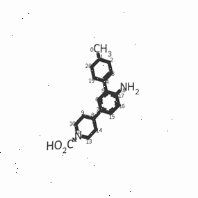 CC1CC=C(c2cc(C3CCN(C(=O)O)CC3)ccc2N)CC1